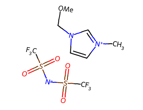 COCn1cc[n+](C)c1.O=S(=O)([N-]S(=O)(=O)C(F)(F)F)C(F)(F)F